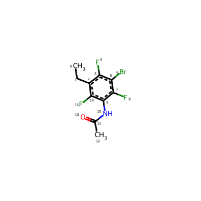 CCc1c(F)c(Br)c(F)c(NC(C)=O)c1F